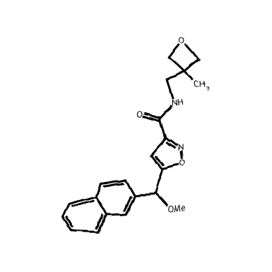 COC(c1ccc2ccccc2c1)c1cc(C(=O)NCC2(C)COC2)no1